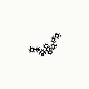 c1ccc(-c2ccc(-c3cccc(-c4c5ccccc5c(-c5cccc(-c6ccc(-c7ccccc7)s6)c5)c5ccccc45)c3)s2)cc1